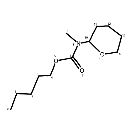 CCCCCOC(=O)N(C)C1CCCCO1